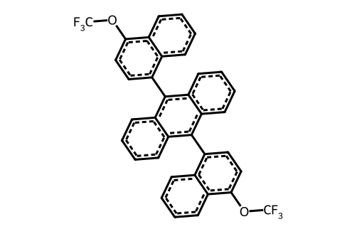 FC(F)(F)Oc1ccc(-c2c3ccccc3c(-c3ccc(OC(F)(F)F)c4ccccc34)c3ccccc23)c2ccccc12